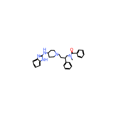 CN(CC(CCN1CCC(Nc2nc3ccccc3[nH]2)CC1)c1ccccc1)C(=O)c1ccccc1